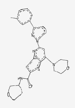 Cc1cccc(-c2ccn(-c3cc(N4CCOCC4)c4sc(C(=O)NC5CCOC5)cc4n3)n2)c1